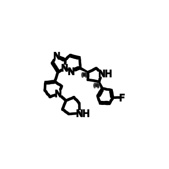 Fc1cccc([C@H]2C[C@@H](c3ccc4ncc(C5=CCCN(C6CCNCC6)C5)n4n3)CN2)c1